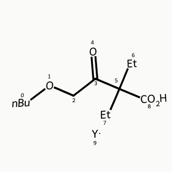 CCCCOCC(=O)C(CC)(CC)C(=O)O.[Y]